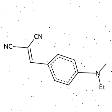 CCN(C)c1ccc(C=C(C#N)C#N)cc1